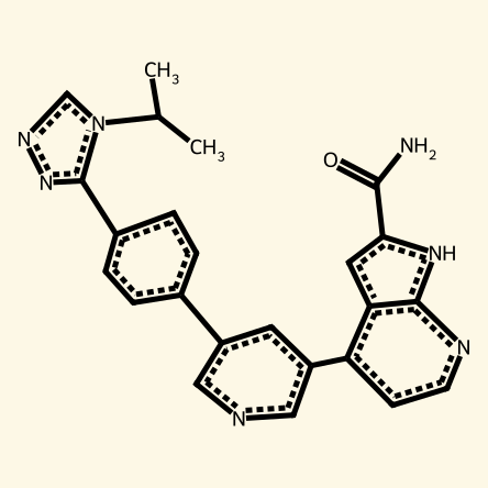 CC(C)n1cnnc1-c1ccc(-c2cncc(-c3ccnc4[nH]c(C(N)=O)cc34)c2)cc1